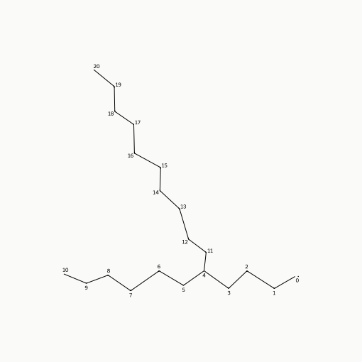 [CH2]CCCC(CCCCCC)CCCCCCCCCC